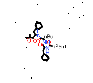 CCCCCC(=O)NC(Cc1ccccc1)C(=O)NC(CCCC)C(=O)NC(Cc1ccccc1)C(=O)C1(C)CO1